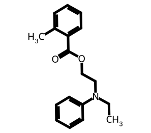 CCN(CCOC(=O)c1ccccc1C)c1ccccc1